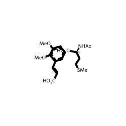 COc1cccc(/C=C/C(=O)O)c1OC.CSCC[C@H](NC(C)=O)C(=O)O